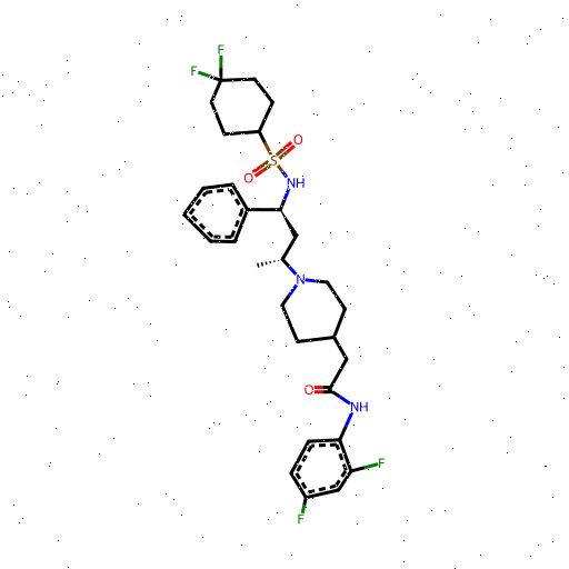 C[C@H](C[C@H](NS(=O)(=O)C1CCC(F)(F)CC1)c1ccccc1)N1CCC(CC(=O)Nc2ccc(F)cc2F)CC1